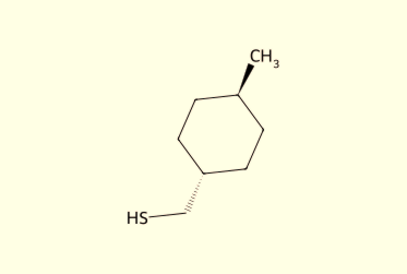 C[C@H]1CC[C@H](CS)CC1